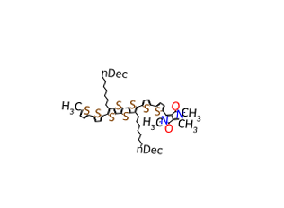 CCCCCCCCCCCCCCCCCc1c(-c2ccc(-c3ccc(C)s3)s2)sc2c1sc1c3sc(-c4ccc(-c5ccc(C6=C7C(=O)N(C)C(C)=C7C(=O)N6C)s5)s4)c(CCCCCCCCCCCCCCCCC)c3sc21